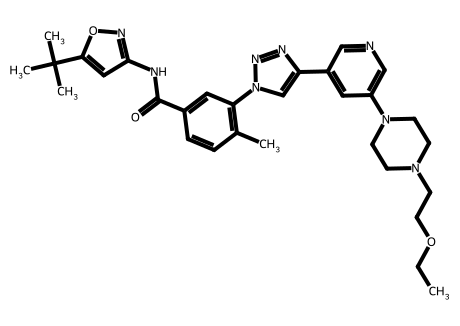 CCOCCN1CCN(c2cncc(-c3cn(-c4cc(C(=O)Nc5cc(C(C)(C)C)on5)ccc4C)nn3)c2)CC1